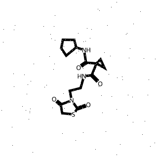 O=C1CSC(=O)N1CCNC(=O)C1(C(=O)NC2CCCC2)CC1